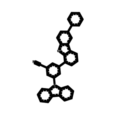 N#Cc1cc(-c2cccc3c2oc2ccc(-c4ccccc4)cc23)cc(-n2c3ccccc3c3ccccc32)c1